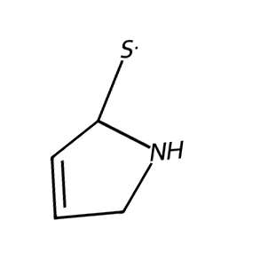 [S]C1C=CCN1